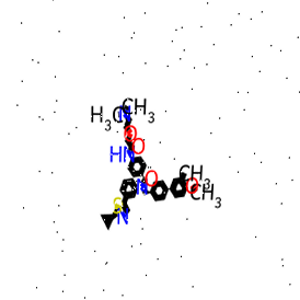 COc1ccc([C@H]2CC[C@H](CN(c3cccc(-c4cnc(C5CC5)s4)c3)C(=O)[C@H]3CC[C@H](NC(=O)COCCN(C)C)CC3)CC2)cc1C